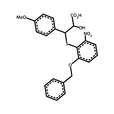 COc1ccc(C(Sc2c(OCc3ccccc3)cccc2[N+](=O)[O-])C(O)C(=O)O)cc1